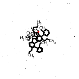 CCCCC1=Cc2c(ccc(CCC)c2-c2ccccc2CC)[CH]1[Zr]([Cl])([Cl])([CH]1C(CCCC)=Cc2c1ccc(CCC)c2-c1ccccc1CC)[SiH](C)C